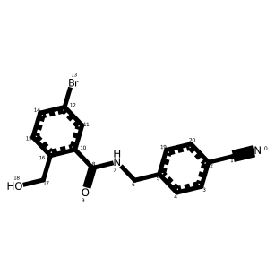 N#Cc1ccc(CNC(=O)c2cc(Br)ccc2CO)cc1